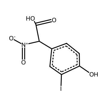 O=C(O)C(c1ccc(O)c(I)c1)[N+](=O)[O-]